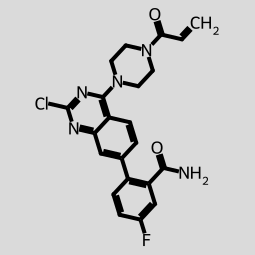 C=CC(=O)N1CCN(c2nc(Cl)nc3cc(-c4ccc(F)cc4C(N)=O)ccc23)CC1